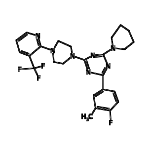 Cc1cc(-c2nc(N3CCCCC3)nc(N3CCN(c4ncccc4C(F)(F)F)CC3)n2)ccc1F